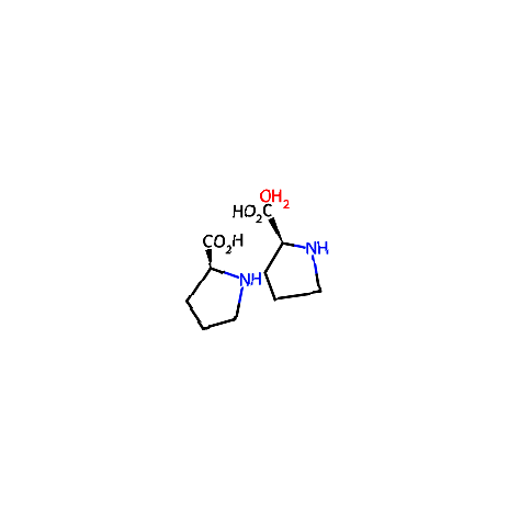 O.O=C(O)[C@@H]1CCCN1.O=C(O)[C@@H]1CCCN1